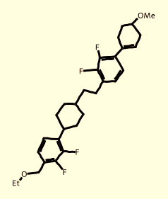 CCOCc1ccc(C2CCC(CCc3ccc(C4=CCC(OC)CC4)c(F)c3F)CC2)c(F)c1F